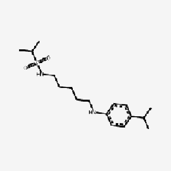 CC(C)c1ccc(NCCCCCNS(=O)(=O)C(C)C)cc1